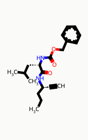 C#C[C@H](CCC)NC(=O)[C@H](CC(C)C)NC(=O)OCc1ccccc1